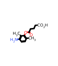 Cc1ccc(N)c(C)c1OC(=O)CCCC(=O)O